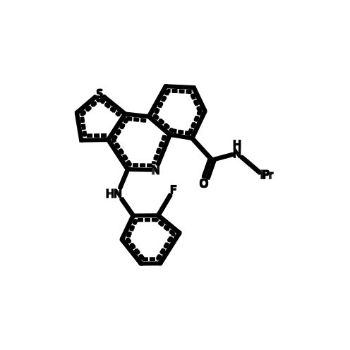 CC(C)NC(=O)c1cccc2c1nc(Nc1ccccc1F)c1ccsc12